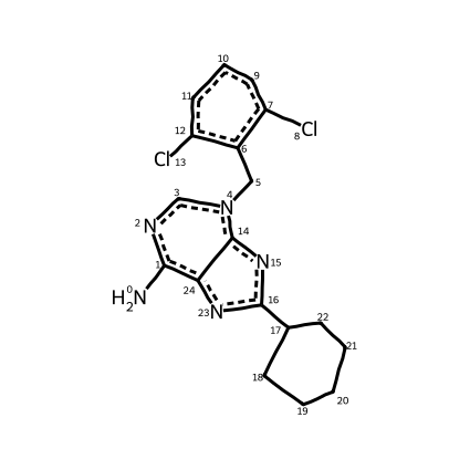 Nc1ncn(Cc2c(Cl)cccc2Cl)c2nc(C3CCCCC3)nc1-2